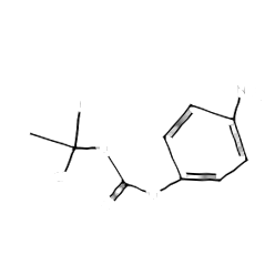 CC(Cl)(I)OC(=O)Oc1ccc([N+](=O)[O-])cc1